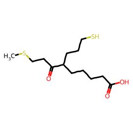 CSCCC(=O)C(CCCS)CCCCC(=O)O